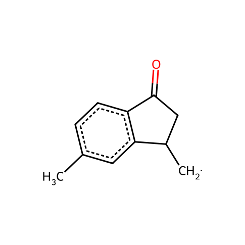 [CH2]C1CC(=O)c2ccc(C)cc21